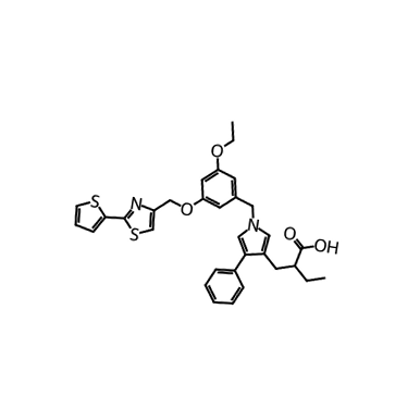 CCOc1cc(Cn2cc(CC(CC)C(=O)O)c(-c3ccccc3)c2)cc(OCc2csc(-c3cccs3)n2)c1